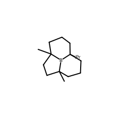 CC(C)C12CCCC3(C)CCC(C)(CCC1)B32